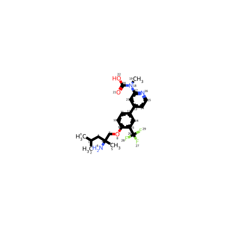 CC(C)CC(C)(N)COc1ccc(-c2ccnc(N(C)C(=O)O)c2)cc1C(F)(F)F